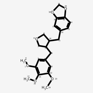 COc1cc(CC2COCC2Cc2ccc3c(c2)OCO3)cc(OC)c1OC